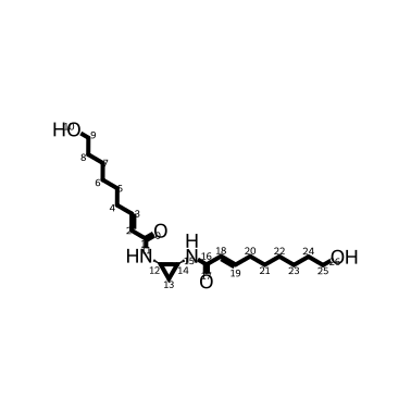 O=C(/C=C/CCCCCCO)N[C@H]1C[C@H]1NC(=O)/C=C/CCCCCCO